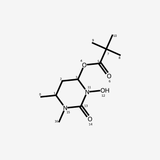 CC1CC(OC(=O)C(C)(C)C)N(O)C(=O)N1C